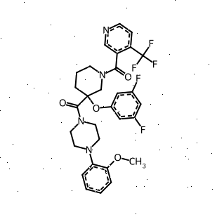 COc1ccccc1N1CCN(C(=O)C2(Oc3cc(F)cc(F)c3)CCCN(C(=O)c3cnccc3C(F)(F)F)C2)CC1